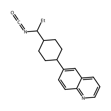 CCC(N=C=O)C1CCC(c2ccc3ncccc3c2)CC1